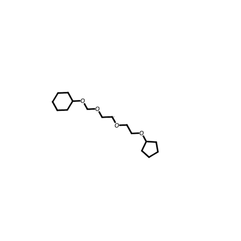 [CH](COCOC1CCCCC1)OCCOC1CCCC1